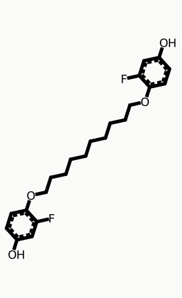 Oc1ccc(OCCCCCCCCCCOc2ccc(O)cc2F)c(F)c1